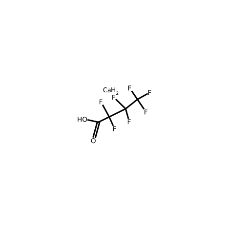 O=C(O)C(F)(F)C(F)(F)C(F)(F)F.[CaH2]